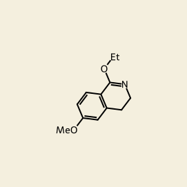 CCOC1=NCCc2cc(OC)ccc21